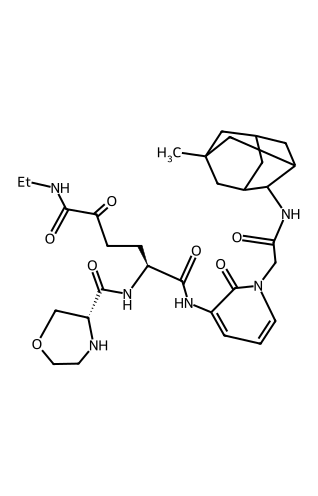 CCNC(=O)C(=O)CC[C@H](NC(=O)[C@H]1COCCN1)C(=O)Nc1cccn(CC(=O)NC2C3CC4CC2CC(C)(C4)C3)c1=O